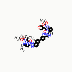 COC(=O)NC(C(=O)N1[C@@H]2CC[C@@H](C2)[C@H]1c1ncc(-c2ccc(-c3ccc4c(ccc5nc([C@@H]6CC7C(C)C7N6C(=O)[C@@H](NC(=O)OC)C(C)C)[nH]c54)c3)cc2)[nH]1)C1CCOCC1